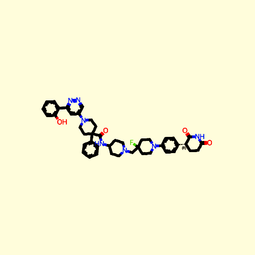 O=C1CC[C@H](c2ccc(N3CCC(F)(CN4CCC(NC(=O)C5(c6ccccc6)CCN(c6cnnc(-c7ccccc7O)c6)CC5)CC4)CC3)cc2)C(=O)N1